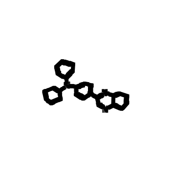 c1ccc(N(c2ccccc2)c2ccc(-c3cnc4ccccc4n3)cc2)cc1